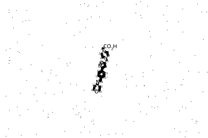 O=C(O)CN1CCN(C[C@@H]2CC(c3ccc(C=NN4CCOCC4)cc3)=NO2)CC1